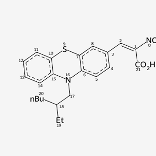 [C-]#[N+]/C(=C/c1ccc2c(c1)Sc1ccccc1N2CC(CC)CCCC)C(=O)O